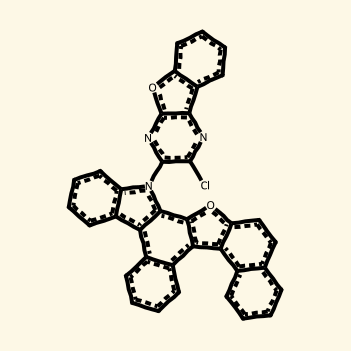 Clc1nc2c(nc1-n1c3ccccc3c3c4ccccc4c4c(oc5ccc6ccccc6c54)c31)oc1ccccc12